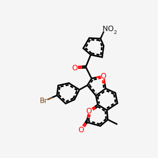 Cc1cc(=O)oc2c1ccc1oc(C(=O)c3ccc([N+](=O)[O-])cc3)c(-c3ccc(Br)cc3)c12